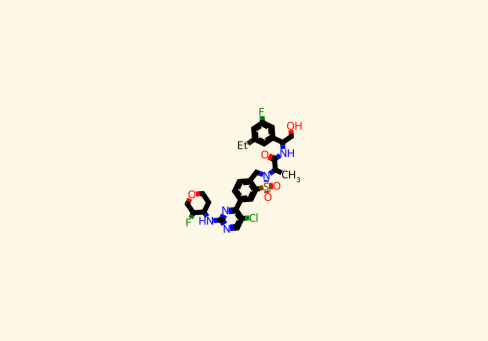 CCc1cc(F)cc(C(CO)NC(=O)C(C)N2Cc3ccc(-c4nc(NC5CCOCC5F)ncc4Cl)cc3S2(=O)=O)c1